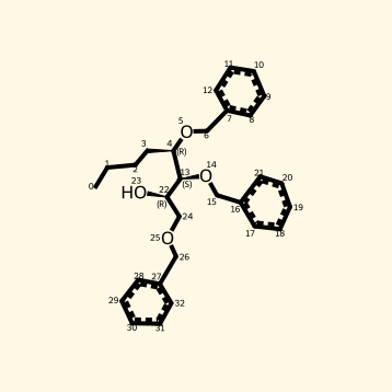 CCCC[C@@H](OCc1ccccc1)[C@@H](OCc1ccccc1)[C@H](O)COCc1ccccc1